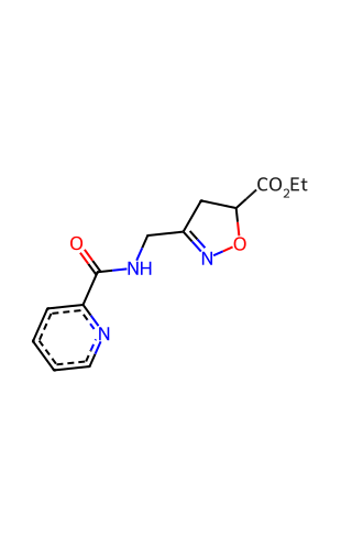 CCOC(=O)C1CC(CNC(=O)c2ccccn2)=NO1